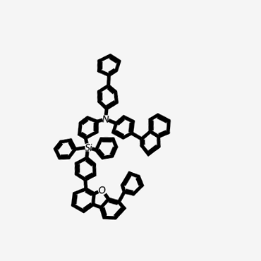 c1ccc(-c2ccc(N(c3ccc(-c4cccc5ccccc45)cc3)c3cccc([Si](c4ccccc4)(c4ccccc4)c4ccc(-c5cccc6c5oc5c(-c7ccccc7)cccc56)cc4)c3)cc2)cc1